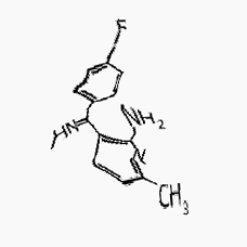 Cc1ccc(C(=N)c2ccc(F)cc2)c(N)n1